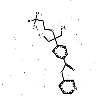 CCC(CC)(OCCC(C)(C)O)c1ccc(C(=O)Oc2cccnc2)cc1